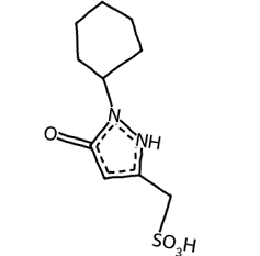 O=c1cc(CS(=O)(=O)O)[nH]n1C1CCCCC1